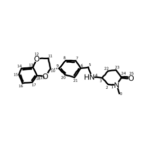 CN1CC(NCc2ccc([C@H]3COc4ccccc4O3)cc2)CCC1=O